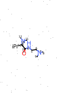 CC(C)[C@H](C(=O)NCCN(C)C)N(C)C